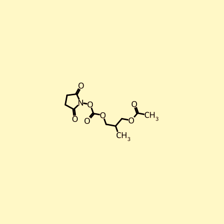 CC(=O)OCC(C)COC(=O)ON1C(=O)CCC1=O